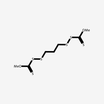 COC(=S)SSCCCSSC(=S)OC